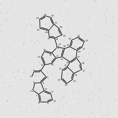 C/C=C(\C=C1/CSc2ccccc21)c1ccc2c(c1)c1c3c4ccccc4ccc3c3ccccc3c1n2-c1ccc2ccccc2c1